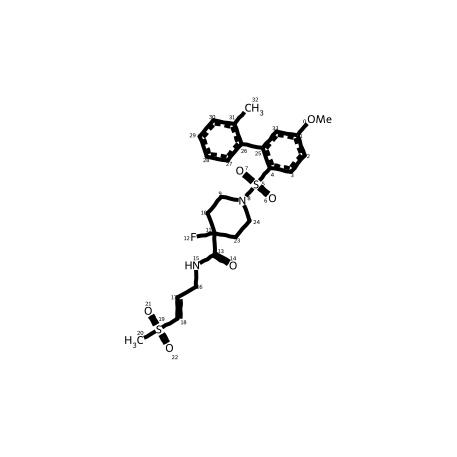 COc1ccc(S(=O)(=O)N2CCC(F)(C(=O)NC/C=C/S(C)(=O)=O)CC2)c(-c2ccccc2C)c1